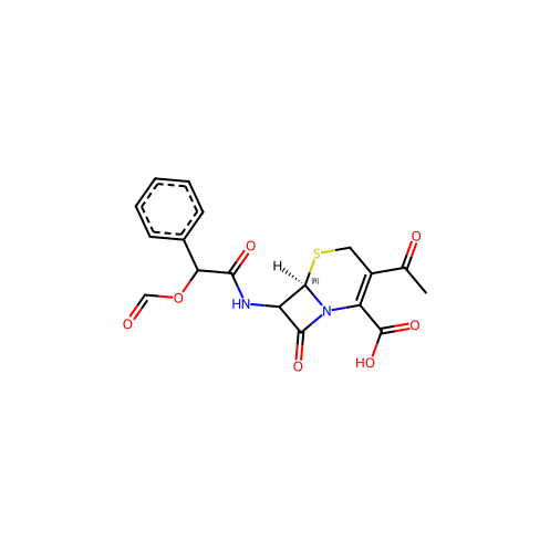 CC(=O)C1=C(C(=O)O)N2C(=O)C(NC(=O)C(OC=O)c3ccccc3)[C@H]2SC1